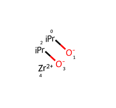 CC(C)[O-].CC(C)[O-].[Zr+2]